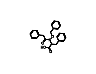 O=C(O)C(Cc1ccccc1)N(OCc1ccccc1)C(=O)Cc1ccccc1